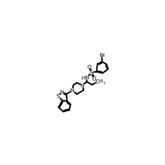 CCC(NS(=O)(=O)c1cccc(Br)c1)N1CCN(c2nsc3ccccc23)CC1